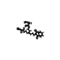 CC(C)(C)NC(=O)OCCN(CCCN1C(=O)c2ccccc2C1=O)CCOC(=O)NC(C)(C)C